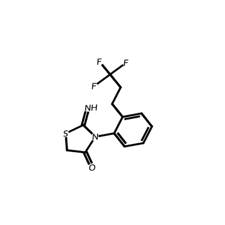 N=C1SCC(=O)N1c1ccccc1CCC(F)(F)F